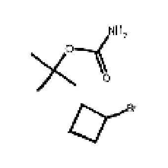 BrC1CCC1.CC(C)(C)OC(N)=O